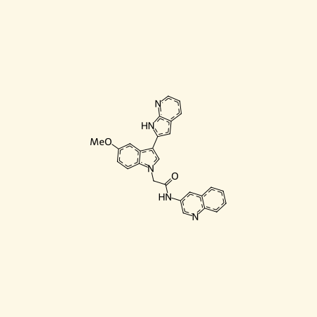 COc1ccc2c(c1)c(-c1cc3cccnc3[nH]1)cn2CC(=O)Nc1cnc2ccccc2c1